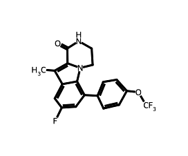 Cc1c2n(c3c(-c4ccc(OC(F)(F)F)cc4)cc(F)cc13)CCNC2=O